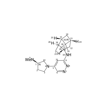 CN[C@@H]1CCN(c2cnnc(N[C@H]3C[C@H]4C[C@@H]([C@@H]3C)C4(C)C)c2)C1